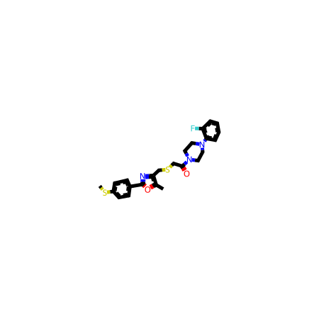 CSc1ccc(-c2nc(CSCC(=O)N3CCN(c4ccccc4F)CC3)c(C)o2)cc1